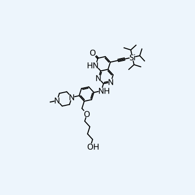 CC(C)[Si](C#Cc1cc(=O)[nH]c2nc(Nc3ccc(N4CCN(C)CC4)c(COCCCCO)c3)ncc12)(C(C)C)C(C)C